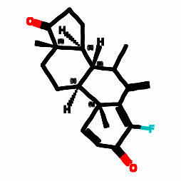 C=C1C2=C(F)C(=O)C=C[C@]2(C)[C@H]2CC[C@]3(C)C(=O)CC[C@H]3[C@@H]2C1C